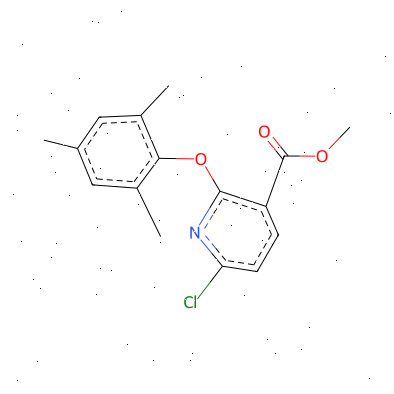 COC(=O)c1ccc(Cl)nc1Oc1c(C)cc(C)cc1C